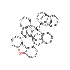 c1ccc(-c2c3ccccc3c(-c3cccc4oc5cccc(-c6c7ccccc7c(-c7cccc8ccccc78)c7ccccc67)c5c34)c3ccccc23)cc1